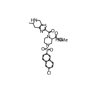 CNC(=O)C1CN(S(=O)(=O)c2ccc3cc(Cl)ccc3c2)CCN1C(=O)c1nc2c(s1)CNC(C)C2.Cl